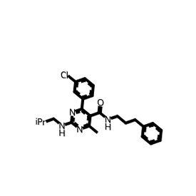 Cc1nc(NCC(C)C)nc(-c2cccc(Cl)c2)c1C(=O)NCCCc1ccccc1